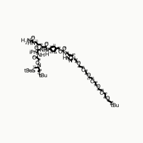 CC(C)[C@H](NC(=O)CON=C(CSC(C)(C)C)CSC(C)(C)C)C(=O)N[C@@H](CCCNC(N)=O)C(=O)Nc1ccc(COC(=O)NCc2cn(CCOCCOCCOCCOCCOCCOCCOCCC(C)(C)C)nn2)cc1